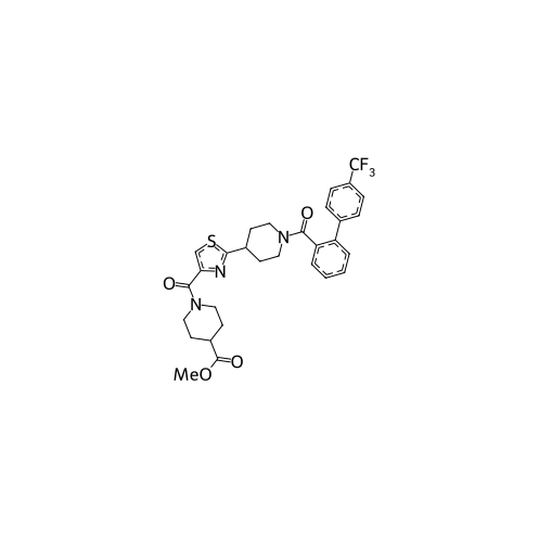 COC(=O)C1CCN(C(=O)c2csc(C3CCN(C(=O)c4ccccc4-c4ccc(C(F)(F)F)cc4)CC3)n2)CC1